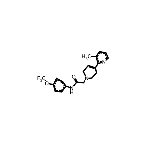 Cc1cccnc1C1=CCN(CC(=O)Nc2ccc(OC(F)(F)F)cc2)CC1